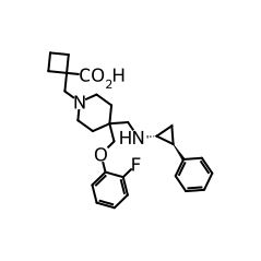 O=C(O)C1(CN2CCC(CN[C@@H]3C[C@H]3c3ccccc3)(COc3ccccc3F)CC2)CCC1